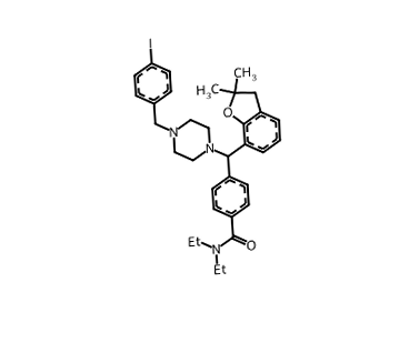 CCN(CC)C(=O)c1ccc(C(c2cccc3c2OC(C)(C)C3)N2CCN(Cc3ccc(I)cc3)CC2)cc1